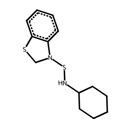 c1ccc2c(c1)SCN2SNC1CCCCC1